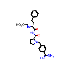 N=C(N)c1ccc(CN2CCC[C@H]2C(=O)NC(=O)[C@@H](CCc2ccccc2)NCC(=O)O)cc1